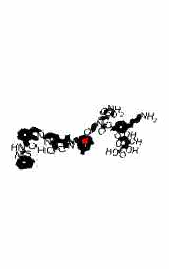 Cc1c(-c2ccc(N3CCc4cccc(C(=O)Nc5nc6ccccc6s5)c4C3)nc2C(=O)O)cnn1CC12CC3(C)CC(C)(C1)CC(OCCN(CCS(N)(=O)=O)C(=O)OCc1ccc(CCCCN)cc1O[C@H]1O[C@@H](C(=O)O)[C@H](O)[C@@H](O)[C@@H]1O)(C3)C2